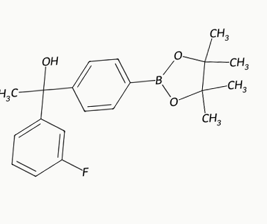 CC(O)(c1ccc(B2OC(C)(C)C(C)(C)O2)cc1)c1cccc(F)c1